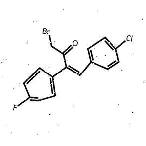 O=C(CBr)C(=Cc1ccc(Cl)cc1)c1ccc(F)cc1